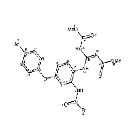 CCC(=O)Nc1cc(Oc2ccc(C(C)=O)cc2)ccc1NC(=NC(=O)OC)NC(=O)OC